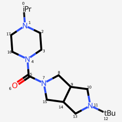 CC(C)N1CCN(C(=O)N2CC3CN(C(C)(C)C)CC3C2)CC1